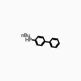 CCCCPc1ccc(-c2ccccc2)cc1